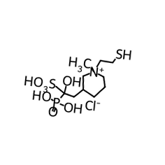 C[N+]1(CCS)CCCC(CC(O)(P(=O)(O)O)S(=O)(=O)O)C1.[Cl-]